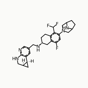 Fc1cc(N2CC3CCC(C2)N3)c(C(F)F)c2c1C[C@@H](NCc1cnc3c(c1)[C@H]1C[C@H]1CN3)CC2